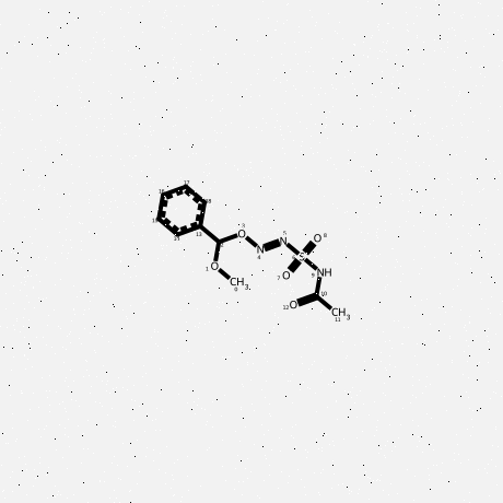 COC(ON=NS(=O)(=O)NC(C)=O)c1ccccc1